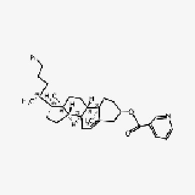 CC(C)CCC[C@@H](C)[C@H]1CC[C@H]2[C@@H]3CC=C4CC(OC(=O)c5cccnc5)CC[C@]4(C)[C@H]3CC[C@]12C